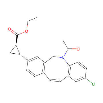 CCOC(=O)[C@@H]1C[C@H]1c1ccc2c(c1)CN(C(C)=O)c1ccc(Cl)cc1/C=C\2